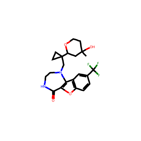 CC1(O)CCOC(C2(CN3CCNC(=O)c4oc5ccc(C(F)(F)F)cc5c43)CC2)C1